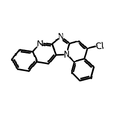 Clc1cc2nc3nc4ccccc4cc3n2c2ccccc12